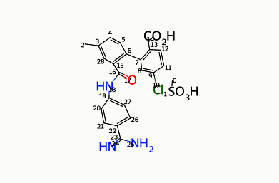 CS(=O)(=O)O.Cc1ccc(-c2cc(Cl)ccc2C(=O)O)c(C(=O)Nc2ccc(C(=N)N)cc2)c1